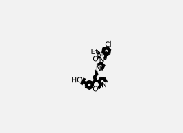 CCNC(=O)N(Cc1ccc(Cl)cc1)C1CCN(CC/C=C2/c3cc(C(C)(C)O)ccc3OCc3ncccc32)C1